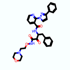 O=C(NOCCN1CCOCC1)C(=O)C(Cc1ccccc1)NC(=O)c1cccnc1-n1ccc(-c2ccccc2)n1